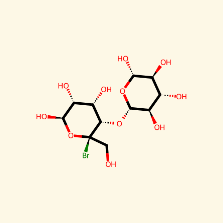 OC[C@]1(Br)O[C@@H](O)[C@H](O)[C@H](O)[C@@H]1O[C@@H]1O[C@H](O)[C@@H](O)[C@H](O)[C@H]1O